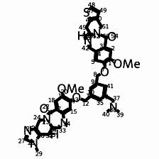 COc1cc2c(cc1OCc1cc(COc3cc4c(cc3OC)C(=O)N3Cc5ncn(C)c5C[C@H]3C=N4)cc(CN(C)C)c1)C=N[C@@H]1Cc3sccc3CN1C2=O